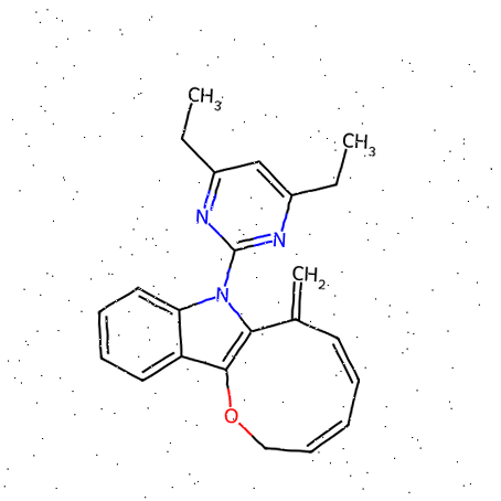 C=C1/C=C\C=C/COc2c1n(-c1nc(CC)cc(CC)n1)c1ccccc21